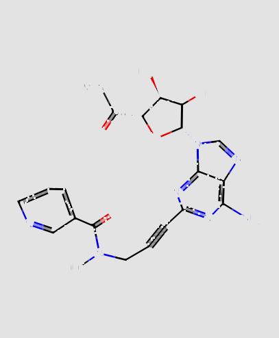 CNC(=O)[C@H]1O[C@@H](n2cnc3c(N)nc(C#CCN(C(=O)c4cccnc4)C(C)C)nc32)C(O)[C@@H]1O